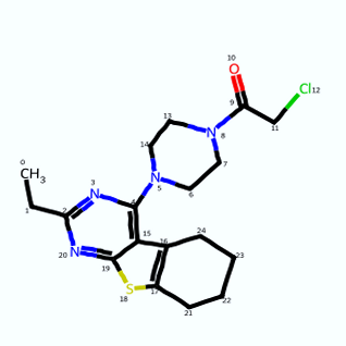 CCc1nc(N2CCN(C(=O)CCl)CC2)c2c3c(sc2n1)CCCC3